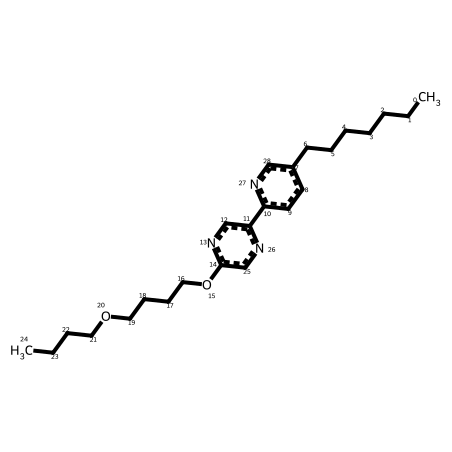 CCCCCCCc1ccc(-c2cnc(OCCCCOCCCC)cn2)nc1